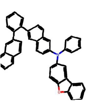 c1ccc(N(c2ccc3cc(-c4ccccc4-c4ccc5ccccc5c4)ccc3c2)c2ccc3oc4ccccc4c3c2)cc1